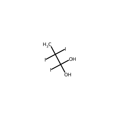 CC(I)(I)C(O)(O)I